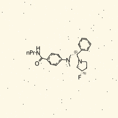 CCCNC(=O)c1ccc(N(C)C[C@H](c2ccccc2)N2CC[C@H](F)C2)cc1